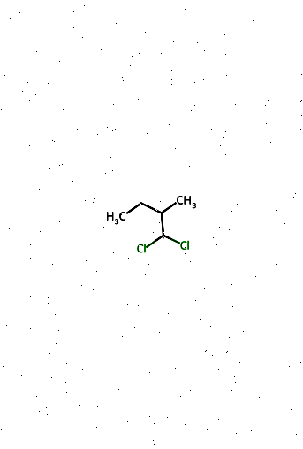 CCC(C)[C](Cl)Cl